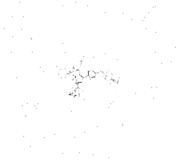 CC(C)Oc1nn(C2CCCCC2)c2nc(C(=O)NS(C)(=O)=O)cc(-c3ccc(CN4CCC(N(C)C)CC4)cc3)c12